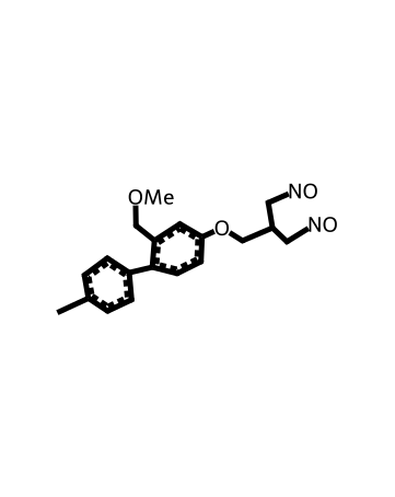 COCc1cc(OCC(CN=O)CN=O)ccc1-c1ccc(C)cc1